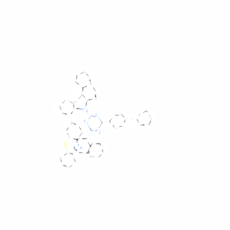 c1ccc(-c2ccc(-c3nc(-c4ccccc4)nc(-n4c5ccc6ccccc6c5c5cccc(-c6ccc7c(c6)Sc6ccccc6N7c6ccccc6)c54)n3)cc2)cc1